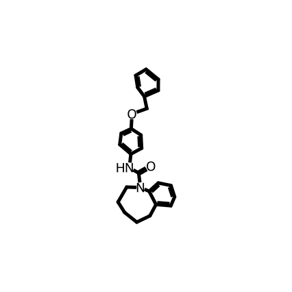 O=C(Nc1ccc(OCc2ccccc2)cc1)N1CCCCCc2ccccc21